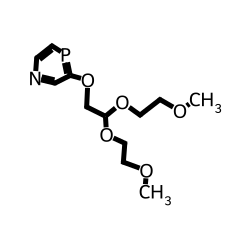 COCCOC(COc1cnccp1)OCCOC